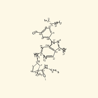 CNC(=O)[C@]1(C)CC[C@@H](Nc2ncc3c(Br)nn(-c4cc(Cl)cc([C@H](C)N)c4)c3n2)C1